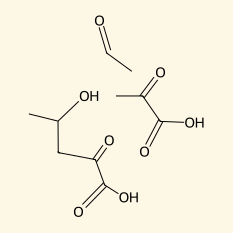 CC(=O)C(=O)O.CC(O)CC(=O)C(=O)O.CC=O